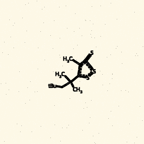 Cc1c(C(C)(C)CC(C)(C)C)ssc1=S